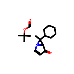 CC(C)(C)OC=O.CC1(C2CCCCC2)C2C(=O)C=CN21